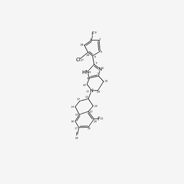 Fc1ccc(-c2nc3c([nH]2)CN(C2CCc4cc(F)cc(F)c4C2)CC3)c(Cl)c1